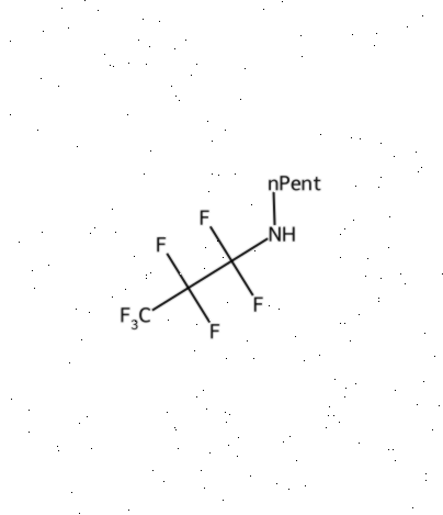 CCCCCNC(F)(F)C(F)(F)C(F)(F)F